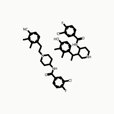 Cc1c(C#N)ccc(CCN2CCC(NC(=O)c3ccc(F)c(Cl)c3)CC2)c1C.Cc1c(O)ccc(C(C)C2CNCCC2NC(=O)c2ccc(F)c(Cl)c2)c1C